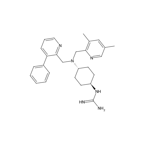 Cc1cnc(CN(Cc2ncccc2-c2ccccc2)[C@H]2CC[C@H](NC(=N)N)CC2)c(C)c1